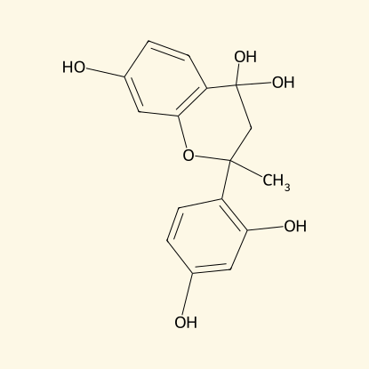 CC1(c2ccc(O)cc2O)CC(O)(O)c2ccc(O)cc2O1